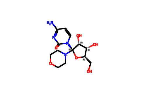 Nc1ccn([C@]2(N3CCOCC3)O[C@H](CO)[C@@H](O)[C@H]2O)c(=O)n1